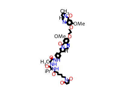 COc1cc2c(cc1OCCCOc1cc3c(cc1OC)C(=O)N1C=C(c4ccc(NC(=O)[C@H](C)NC(=O)[C@@H](NC(=O)CCCCCN5C(=O)C=CC5=O)C(C)C)cc4)C[C@H]1C=N3)N=C[C@@H]1CC(C)=CN1C2=O